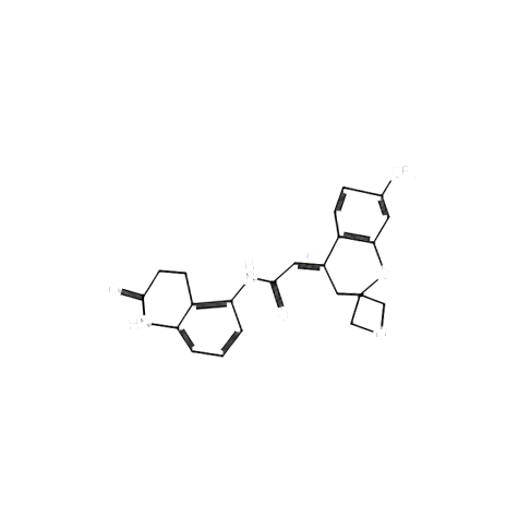 O=C(/C=C1\CC2(COC2)Oc2cc(C(F)(F)F)ccc21)Nc1cccc2c1CCC(=O)N2